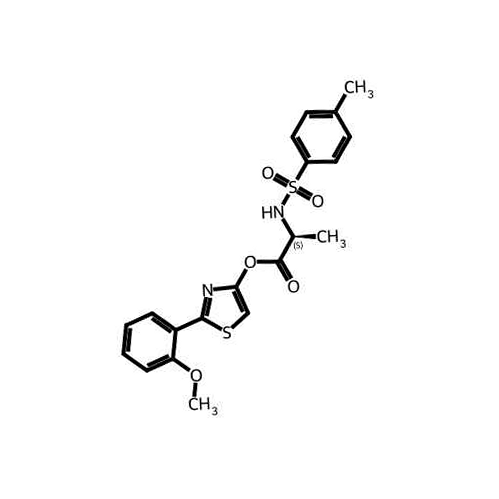 COc1ccccc1-c1nc(OC(=O)[C@H](C)NS(=O)(=O)c2ccc(C)cc2)cs1